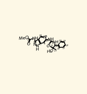 COC(=O)Nc1n[nH]c2cc(NC(=O)N[C@@H](c3ccccc3)C(C)(C)O)ncc12